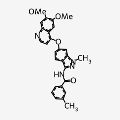 COc1cc2nccc(Oc3ccc4c(NC(=O)c5cccc(C)c5)nn(C)c4c3)c2cc1OC